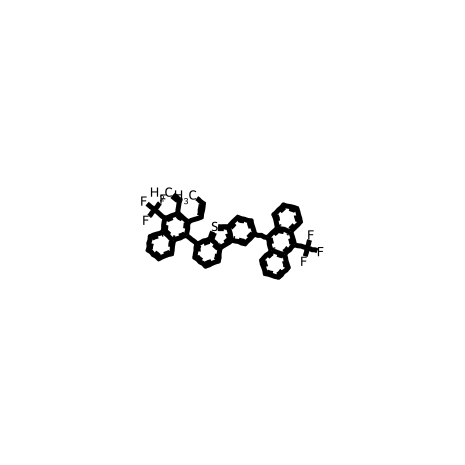 C=Cc1c(/C=C\C)c(-c2cccc3c2sc2ccc(-c4c5ccccc5c(C(F)(F)F)c5ccccc45)cc23)c2ccccc2c1C(F)(F)F